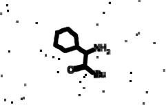 CCC(C)C(=O)C(N)C1CCCCC1